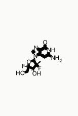 C[C@]1(F)[C@H](n2cnc3c(=O)[nH]c(N)cc32)O[C@](F)(CO)[C@H]1O